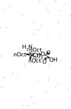 CCCCCCCC[N+](C)(CCCCCCCC)CCCCCCCC.COS(=O)(=O)O.N